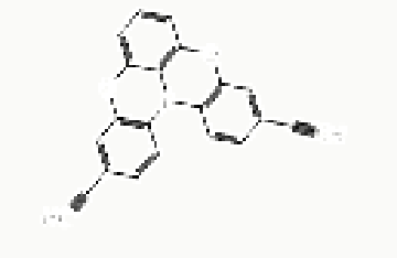 C#Cc1ccc2c(c1)Oc1cccc3c1B2c1ccc(C#C)cc1O3